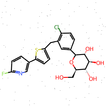 OC[C@H]1OC(c2ccc(Cl)c(Cc3ccc(-c4ccc(F)nc4)s3)c2)[C@H](O)[C@@H](O)[C@@H]1O